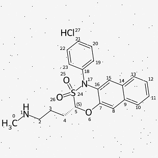 CNCCC[C@H]1Oc2cc3ccccc3cc2N(c2ccccc2)S1(=O)=O.Cl